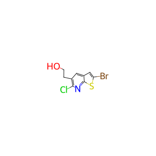 OCCc1cc2cc(Br)sc2nc1Cl